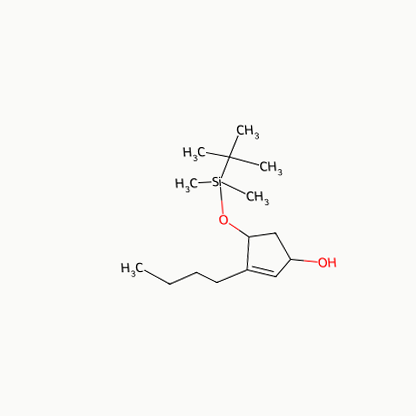 CCCCC1=CC(O)CC1O[Si](C)(C)C(C)(C)C